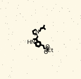 CCS(=O)(=O)CCc1ccc2[nH]cc(C[C@H]3CCCN3CC=C(C)C)c2c1